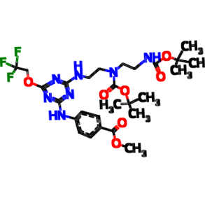 COC(=O)c1ccc(Nc2nc(NCCN(CCNC(=O)OC(C)(C)C)C(=O)OC(C)(C)C)nc(OCC(F)(F)F)n2)cc1